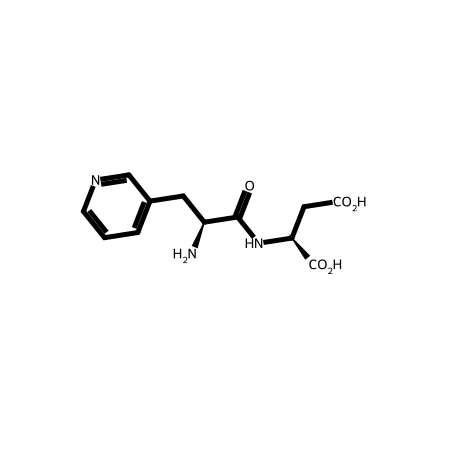 N[C@@H](Cc1cccnc1)C(=O)N[C@@H](CC(=O)O)C(=O)O